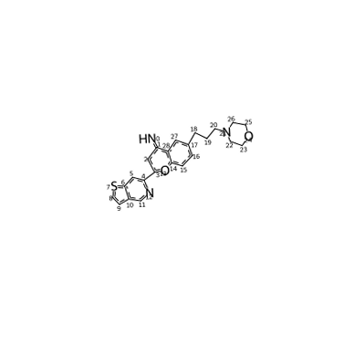 N=c1cc(-c2cc3sccc3cn2)oc2ccc(CCCN3CCOCC3)cc12